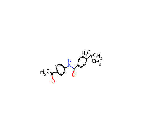 CC(=O)c1ccc(NC(=O)c2ccc(C(C)(C)C)cc2)cc1